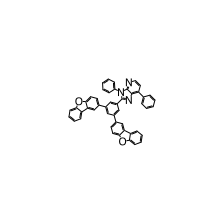 c1ccc(-c2ccnc3c2nc(-c2cc(-c4ccc5oc6ccccc6c5c4)cc(-c4ccc5oc6ccccc6c5c4)c2)n3-c2ccccc2)cc1